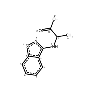 CC(Nc1nsc2ccccc12)C(=O)O